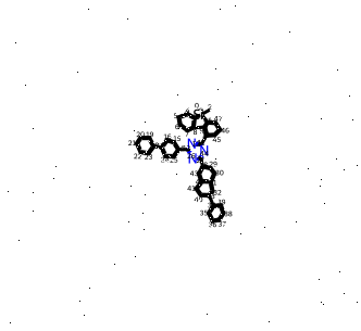 C[Si]1(C)c2ccccc2-c2c(-c3nc(-c4ccc(-c5ccccc5)cc4)nc(-c4ccc5cc(-c6ccccc6)ccc5c4)n3)cccc21